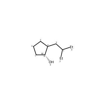 CCC(CC)CC1CCC[C@H]1O